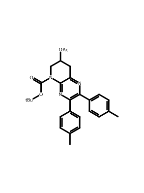 CC(=O)OC1Cc2nc(-c3ccc(C)cc3)c(-c3ccc(C)cc3)nc2N(C(=O)OC(C)(C)C)C1